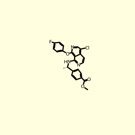 COC(=O)c1ccc([C@H](C)Nc2nccc3c(Cl)cnc(Oc4ccc(F)cc4)c23)cc1